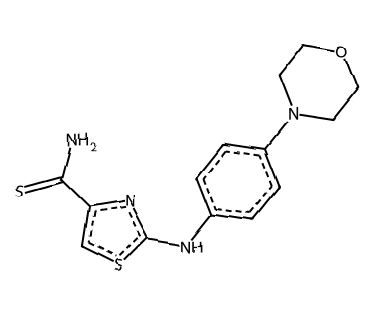 NC(=S)c1csc(Nc2ccc(N3CCOCC3)cc2)n1